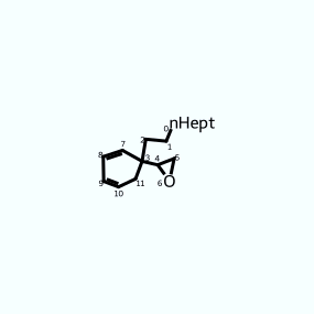 CCCCCCCCCC1(C2CO2)C=CC=CC1